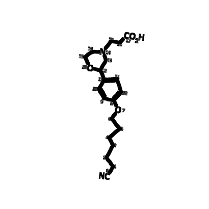 N#CCCCCCCOc1ccc(C2CN(CCC(=O)O)CCO2)cc1